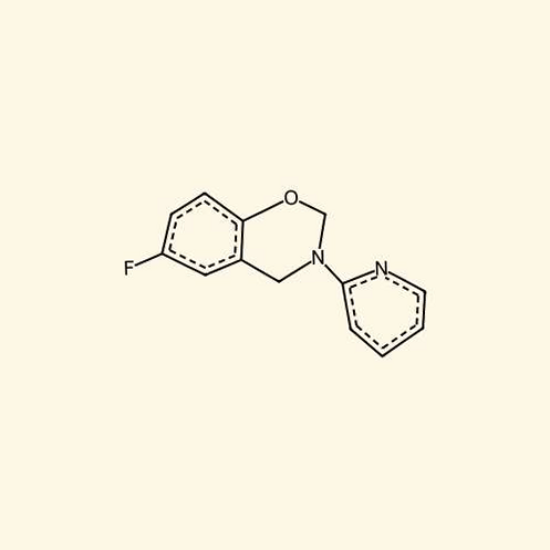 Fc1ccc2c(c1)CN(c1ccccn1)CO2